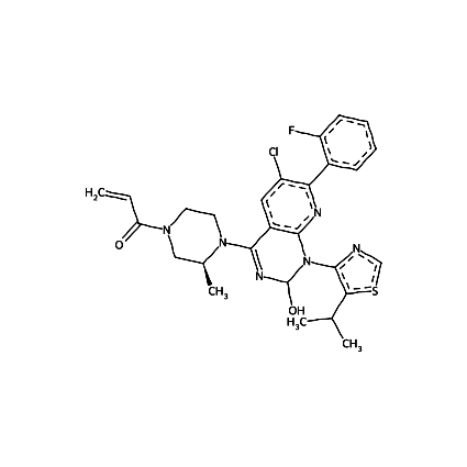 C=CC(=O)N1CCN(C2=NC(O)N(c3ncsc3C(C)C)c3nc(-c4ccccc4F)c(Cl)cc32)[C@@H](C)C1